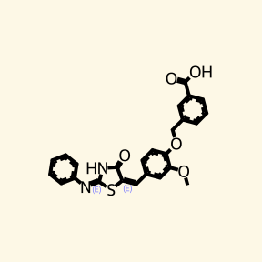 COc1cc(/C=C2/S/C(=N/c3ccccc3)NC2=O)ccc1OCc1cccc(C(=O)O)c1